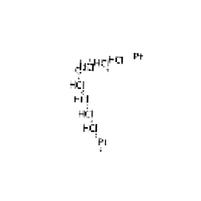 Cl.Cl.Cl.Cl.Cl.Cl.Cl.O.[Pt].[Pt]